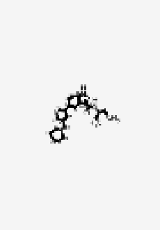 CCC(CC)NC(=O)c1n[nH]c2ccc(-c3cncc(CN4CCCCC4)c3)cc12